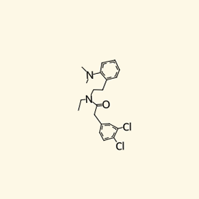 CCN(CCc1ccccc1N(C)C)C(=O)Cc1ccc(Cl)c(Cl)c1